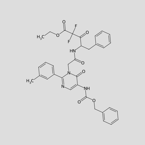 CCOC(=O)C(F)(F)C(=O)C(Cc1ccccc1)NC(=O)Cn1c(-c2cccc(C)c2)ncc(NC(=O)OCc2ccccc2)c1=O